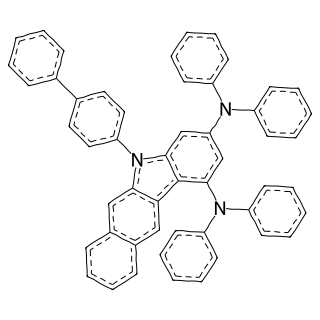 c1ccc(-c2ccc(-n3c4cc5ccccc5cc4c4c(N(c5ccccc5)c5ccccc5)cc(N(c5ccccc5)c5ccccc5)cc43)cc2)cc1